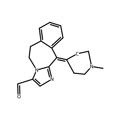 CN1CCC(=C2c3ccccc3CCn3c(C=O)cnc32)CC1